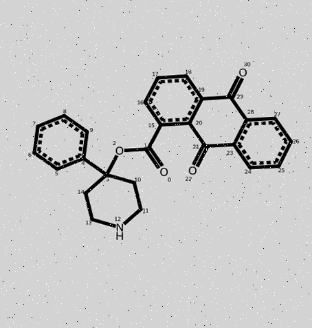 O=C(OC1(c2ccccc2)CCNCC1)c1cccc2c1C(=O)c1ccccc1C2=O